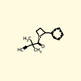 C#CC(C)(C)C(=O)N1CCC1c1ccccc1